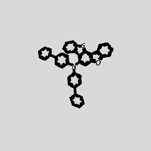 c1ccc(-c2ccc(N(c3ccc(-c4ccccc4)cc3)c3cc4oc5ccccc5c4c4sc5ccccc5c34)cc2)cc1